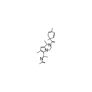 C=C(C)/N=C(\C)c1c(C)cc2n1CCN(C(=C)C1(C)C=CC(C)=CC1)C2C